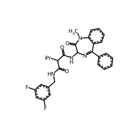 CC(C)C(C(=O)NCc1cc(F)cc(F)c1)C(=O)NC1N=C(c2ccccc2)c2ccccc2N(C)C1=O